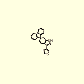 C1=CC(c2ccccc2)(c2ccccn2)Cc2[nH]nc(-c3cscn3)c21